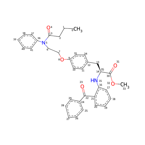 CCCC(=O)N(CCOc1ccc(C[C@H](Nc2ccccc2C(=O)c2ccccc2)C(=O)OC)cc1)c1ccccc1